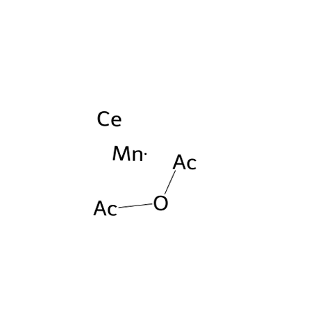 CC(=O)OC(C)=O.[Ce].[Mn]